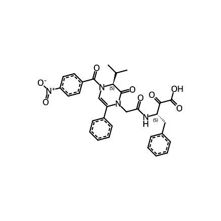 CC(C)[C@H]1C(=O)N(CC(=O)N[C@@H](Cc2ccccc2)C(=O)C(=O)O)C(c2ccccc2)=CN1C(=O)c1ccc([N+](=O)[O-])cc1